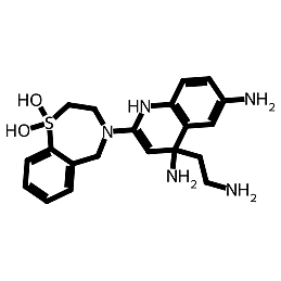 NCCC1(N)C=C(N2CCS(O)(O)c3ccccc3C2)Nc2ccc(N)cc21